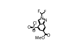 COC(=O)c1cc(S(=O)(=O)Cl)c2cn(C(F)F)nc2c1